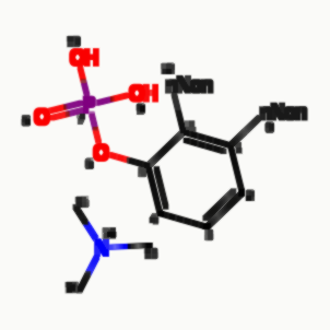 CCCCCCCCCc1cccc(OP(=O)(O)O)c1CCCCCCCCC.CN(C)C